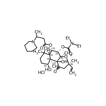 C=C[C@@]1(C)CC(=O)[C@]2(O)[C@@]3(C)[C@@H](O)CCC(C)(C)[C@@H]3[C@H](OC(=O)CC(C)N3CCCCC3)[C@H](OC(=O)N(CC)CC)[C@@]2(C)O1.Cl